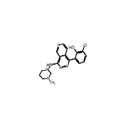 CN1CCC[C@@H](Nc2nnc(-c3cccc(Cl)c3O)c3ccncc23)C1